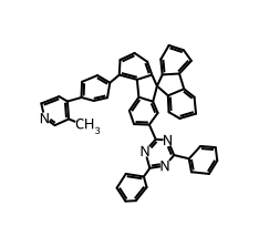 Cc1cnccc1-c1ccc(-c2cccc3c2-c2ccc(-c4nc(-c5ccccc5)nc(-c5ccccc5)n4)cc2C32c3ccccc3-c3ccccc32)cc1